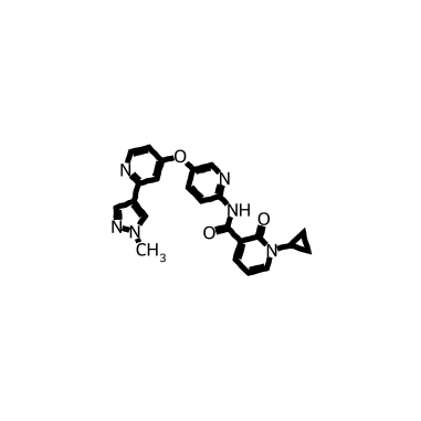 Cn1cc(-c2cc(Oc3ccc(NC(=O)c4cccn(C5CC5)c4=O)nc3)ccn2)cn1